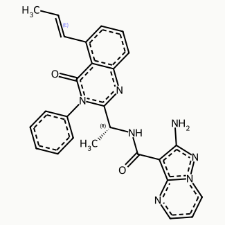 C/C=C/c1cccc2nc([C@@H](C)NC(=O)c3c(N)nn4cccnc34)n(-c3ccccc3)c(=O)c12